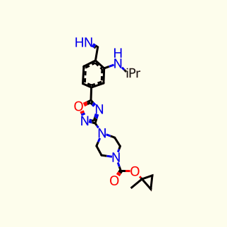 CC(C)Nc1cc(-c2nc(N3CCN(C(=O)OC4(C)CC4)CC3)no2)ccc1C=N